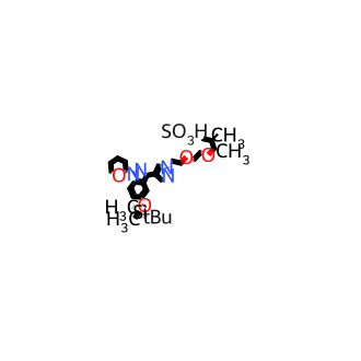 C[C@H](CS(=O)(=O)O)[C@H](C)OCCOCCn1cc(-c2nn(C3CCCCO3)c3ccc(O[Si](C)(C)C(C)(C)C)cc23)cn1